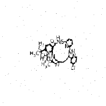 CC(C)(C)c1ccc2c(n1)N1C[C@@H](CCC(c3cc(Cl)ccn3)Nc3cccc(n3)SNC2=O)CC1(C)C